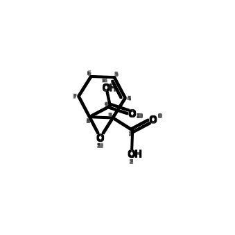 O=C(O)C12C=CCCC1(C(=O)O)O2